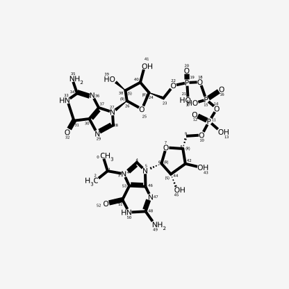 CC(C)[n+]1cn([C@@H]2O[C@H](COP(=O)(O)OP(=O)(O)OP(=O)(O)OC[C@H]3O[C@@H](n4cnc5c(=O)[nH]c(N)nc54)[C@@H](O)C3O)C(O)[C@@H]2O)c2nc(N)[nH]c(=O)c21